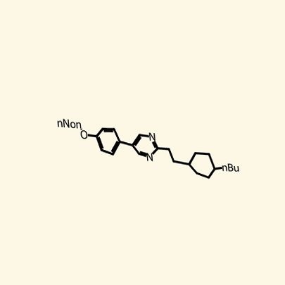 CCCCCCCCCOc1ccc(-c2cnc(CCC3CCC(CCCC)CC3)nc2)cc1